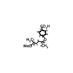 CO[C@@H](C)CC[C@@H](C)Oc1ccc(C(=O)O)cc1